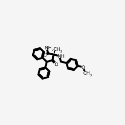 COc1ccc(CN[C@@](C)(C(N)=O)C(=O)C(c2ccccc2)c2ccccc2)cc1